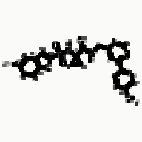 O=C(NCc1cc(-c2ccc(C(F)(F)F)cn2)ncn1)C1(NS(=O)(=O)c2cc3cc(F)ccc3o2)CC1